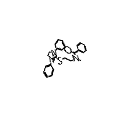 CN(CCSP1N(c2ccccc2)CCN1c1ccccc1)C(=O)c1ccccc1